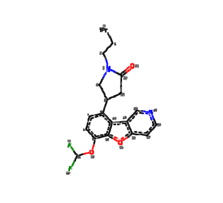 CC(C)CCN1CC(c2ccc(OC(F)F)c3oc4ccncc4c23)CC1=O